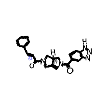 O=C(c1ccc2[nH]nnc2c1)N1C=C2CN(C(=O)/C=C/c3ccccc3)C[C@@H]2C1